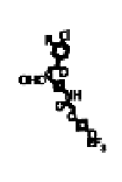 O=CN(CC(=O)c1ccc(Cl)c(F)c1)C12CC(NC(=O)COC3CC(OC(F)(F)F)C3)(C1)C2